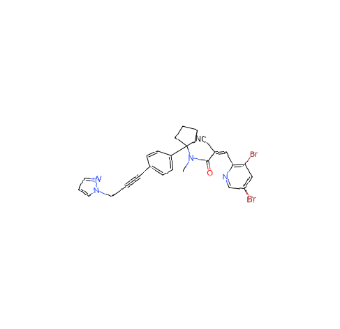 CN(C(=O)C(C#N)=Cc1ncc(Br)cc1Br)C1(c2ccc(C#CCn3cccn3)cc2)CCCC1